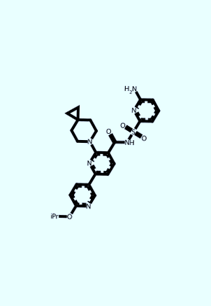 CC(C)Oc1ccc(-c2ccc(C(=O)NS(=O)(=O)c3cccc(N)n3)c(N3CCC4(CC3)CC4)n2)cn1